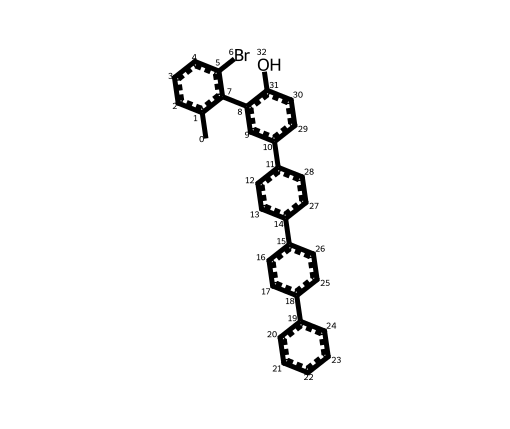 Cc1cccc(Br)c1-c1cc(-c2ccc(-c3ccc(-c4ccccc4)cc3)cc2)ccc1O